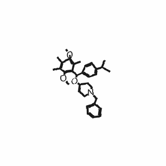 COc1c(C)c(C)c(OC)c(C(OC2CCN(Cc3ccccc3)CC2)c2ccc(C(C)C)cc2)c1C